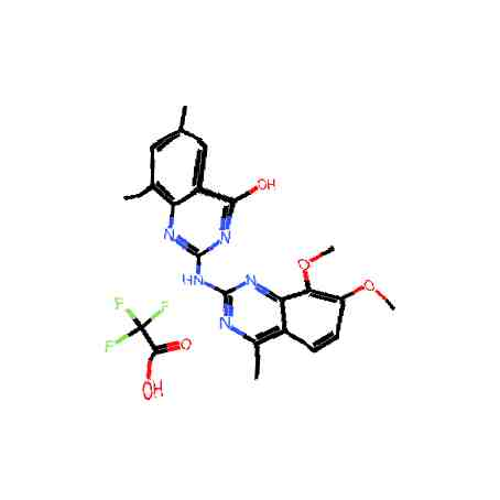 COc1ccc2c(C)nc(Nc3nc(O)c4cc(C)cc(C)c4n3)nc2c1OC.O=C(O)C(F)(F)F